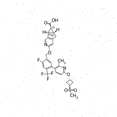 Cc1nc(O[C@H]2C[C@H](S(C)(=O)=O)C2)ccc1-c1cc(COc2cc3c(cn2)[C@H]2[C@@H](C3)[C@@H]2C(=O)O)c(F)cc1C(F)(F)F